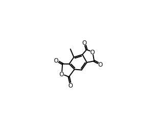 Cc1c2c(=O)oc(=O)c2cc2c(=O)oc(=O)c12